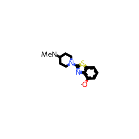 CNC1CCN(c2nc3c([O])cccc3s2)CC1